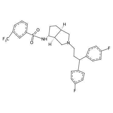 O=S(=O)(N[C@@H]1CC[C@H]2CN(CCC(c3ccc(F)cc3)c3ccc(F)cc3)C[C@H]21)c1cccc(C(F)(F)F)c1